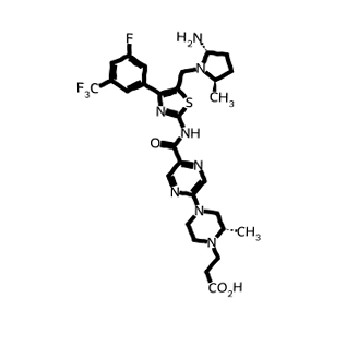 C[C@@H]1CC[C@@H](N)N1Cc1sc(NC(=O)c2cnc(N3CCN(CCC(=O)O)[C@@H](C)C3)cn2)nc1-c1cc(F)cc(C(F)(F)F)c1